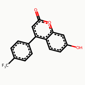 O=c1cc(-c2ccc(C(F)(F)F)cc2)c2ccc(O)cc2o1